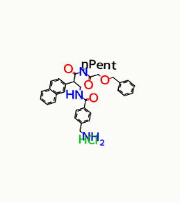 CCCCCN(C(=O)COCc1ccccc1)C(=O)C(CNC(=O)c1ccc(CN)cc1)c1ccc2ccccc2c1.Cl